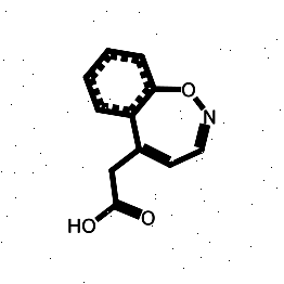 O=C(O)CC1=CC=NOc2ccccc21